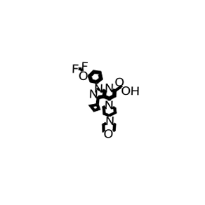 O=C(O)c1cc(N2CCC(N3CCOCC3)CC2)c2c(C3CCC3)nn(-c3cccc(OC(F)F)c3)c2n1